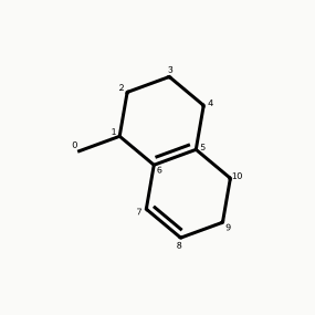 CC1CCCC2=C1C=CCC2